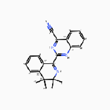 CC1(C)N=C(c2nc(C#N)c3ccccc3n2)c2ccccc2C1(C)C